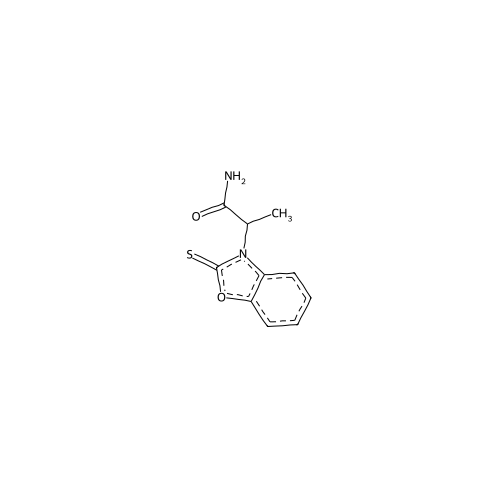 CC(C(N)=O)n1c(=S)oc2ccccc21